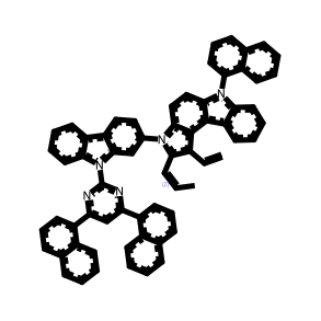 C=Cc1c(/C=C\C)n(-c2ccc3c4ccccc4n(-c4nc(-c5cccc6ccccc56)cc(-c5cccc6ccccc56)n4)c3c2)c2ccc3c(c4ccccc4n3-c3cccc4ccccc34)c12